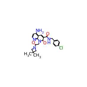 CC1(C)CN(C(=O)Cn2c(=O)c(C(=O)NCc3ccc(Cl)cc3)cc3c(N)ccnc32)C1